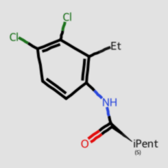 CCC[C@H](C)C(=O)Nc1ccc(Cl)c(Cl)c1CC